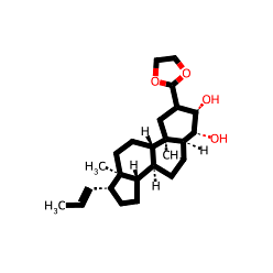 CC=C[C@H]1CC[C@H]2[C@@H]3CC[C@@H]4[C@@H](O)[C@@H](O)C(C5OCCO5)C[C@]4(C)[C@H]3CC[C@]12C